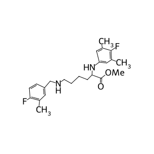 COC(=O)C(CCCCNCc1ccc(F)c(C)c1)Nc1cc(C)c(F)c(C)c1